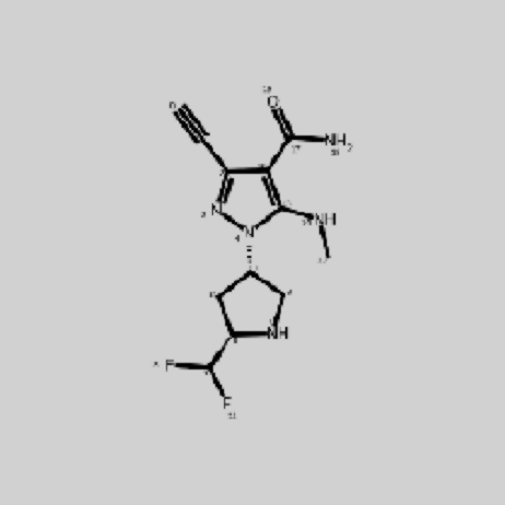 C#Cc1nn([C@@H]2CN[C@@H](C(F)F)C2)c(NC)c1C(N)=O